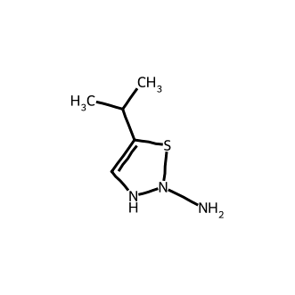 CC(C)C1=CNN(N)S1